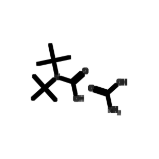 CC(C)(C)N(C(=O)O)C(C)(C)C.NC(=O)O